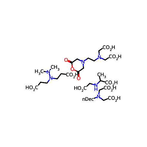 CC(NCC(=O)O)C(=O)O.CCCCCCCCCCN(CC(=O)O)CC(=O)O.CN(C)N(CCC(=O)O)CCC(=O)O.O=C(O)CN(CCN1CC(=O)OC(=O)C1)CC(=O)O